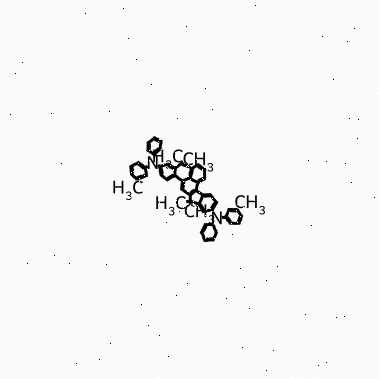 Cc1cccc(N(c2ccccc2)c2ccc3c(c2)C(C)(C)c2cccc4c5c(cc-3c24)C(C)(C)c2cc(N(c3cccc(C)c3)C3C=CC=CC3)ccc2-5)c1